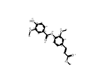 COC(=O)C=Cc1ccc(OC(=O)c2ccc(O)c(OC)c2)c(OC)c1